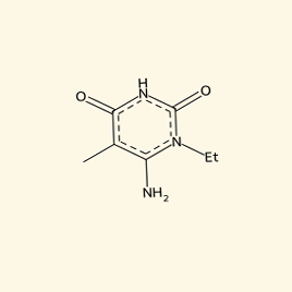 CCn1c(N)c(C)c(=O)[nH]c1=O